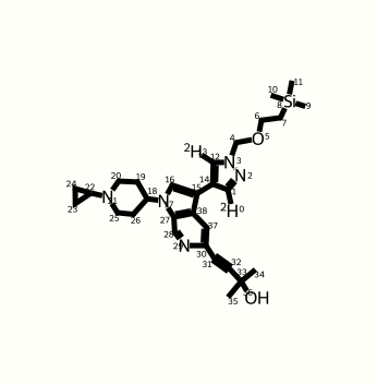 [2H]c1nn(COCC[Si](C)(C)C)c([2H])c1-c1cn(C2CCN(C3CC3)CC2)c2cnc(C#CC(C)(C)O)cc12